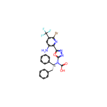 Nc1cc(C(F)(F)F)c(Br)nc1-c1nnc(N(C(=O)O)[C@H](Cc2ccccc2)c2ccccc2)o1